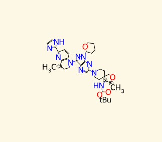 C[C@@H]1OCC2(CCN(c3cnc4c(N5CC[C@H](C)c6nc(-c7ncc[nH]7)ccc65)nn(C5CCCCO5)c4n3)CC2)[C@@H]1NC(=O)OC(C)(C)C